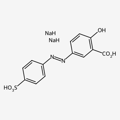 O=C(O)c1cc(N=Nc2ccc(S(=O)(=O)O)cc2)ccc1O.[NaH].[NaH]